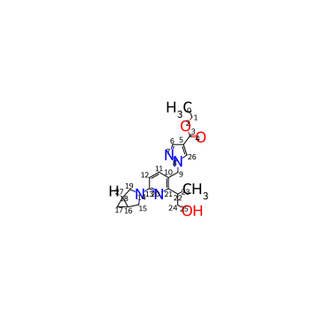 CCOC(=O)c1cnn(Cc2ccc(N3CC4C[C@H]4C3)nc2C(C)CO)c1